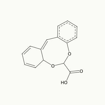 O=C(O)C1Oc2ccccc2/C=C2/C=CC=CC2O1